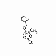 CC[C@H]1OC[C@@H](OCc2ccco2)[C@@H](C)O1